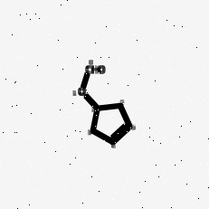 O=COC1CC=CC1